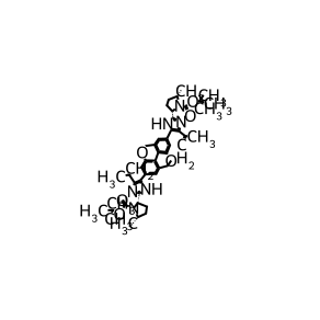 C=C(C)c1nc([C@@H]2CC[C@H](C)N2C(=O)OC(C)(C)C)[nH]c1-c1cc2c3c(c1)OCc1cc(-c4[nH]c([C@@H]5CC[C@H](C)N5C(=O)OC(C)(C)C)nc4C(=C)C)cc(c1-3)OC2